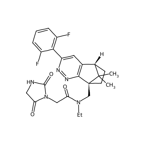 CCN(C[C@@]12CC[C@@H](c3cc(-c4c(F)cccc4F)nnc31)C2(C)C)C(=O)CN1C(=O)CNC1=O